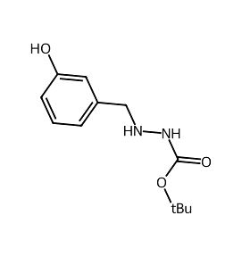 CC(C)(C)OC(=O)NNCc1cccc(O)c1